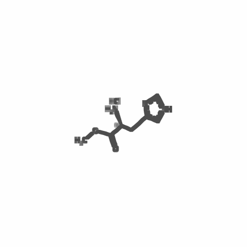 COC(=O)[C@@H](N)Cc1c[nH]cn1.Cl